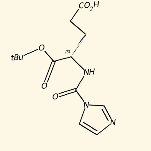 CC(C)(C)OC(=O)[C@H](CCC(=O)O)NC(=O)n1ccnc1